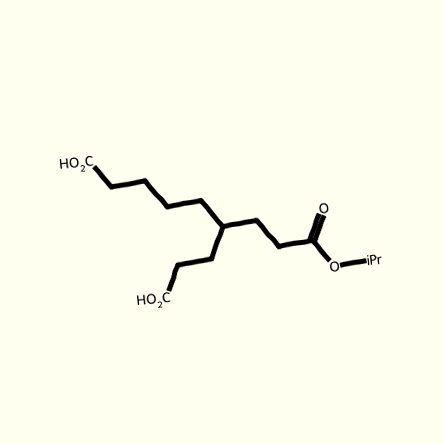 CC(C)OC(=O)CCC(CCCCC(=O)O)CCC(=O)O